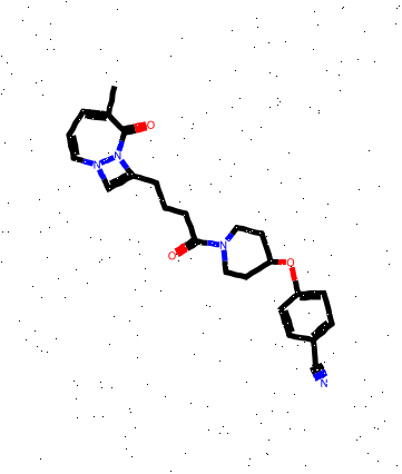 Cc1cccn2cc(CCCC(=O)N3CCC(Oc4ccc(C#N)cc4)CC3)n2c1=O